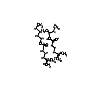 C=C(C)CCCC(=O)OC(C)CC.C=C(C)CCCC(=O)OCCCCC